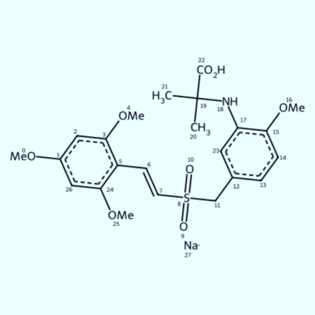 COc1cc(OC)c(C=CS(=O)(=O)Cc2ccc(OC)c(NC(C)(C)C(=O)O)c2)c(OC)c1.[Na]